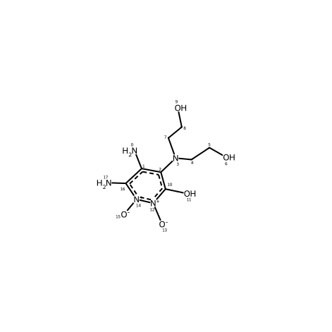 Nc1c(N(CCO)CCO)c(O)[n+]([O-])[n+]([O-])c1N